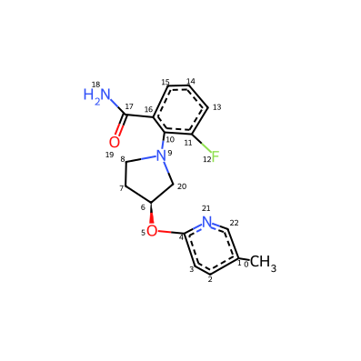 Cc1ccc(O[C@H]2CCN(c3c(F)cccc3C(N)=O)C2)nc1